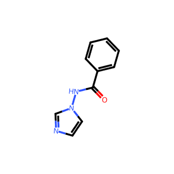 O=C(Nn1ccnc1)c1ccccc1